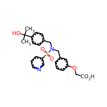 CC(C)(O)c1ccc(CN(Cc2cccc(OCC(=O)O)c2)S(=O)(=O)c2cccnc2)cc1